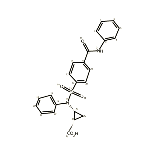 O=C(Nc1ccccc1)c1ccc(S(=O)(=O)N(c2ccccc2)[C@@H]2C[C@@H]2C(=O)O)cc1